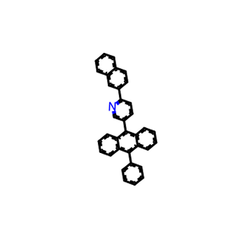 c1ccc(-c2c3ccccc3c(-c3ccc(-c4ccc5ccccc5c4)nc3)c3ccccc23)cc1